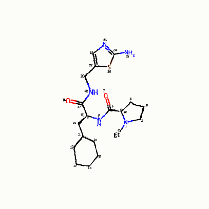 CCN1CCC[C@@H]1C(=O)N[C@@H](CC1CCCCC1)C(=O)NCc1cnc(N)s1